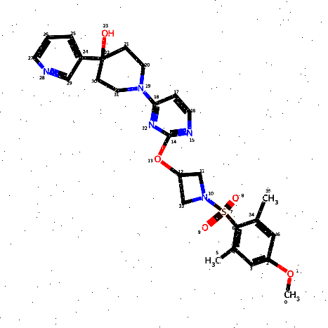 COc1cc(C)c(S(=O)(=O)N2CC(Oc3nccc(N4CCC(O)(c5cccnc5)CC4)n3)C2)c(C)c1